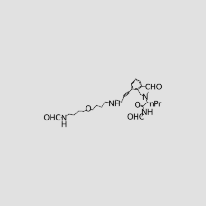 CCCC(C(=O)NC=O)N(C)Cc1c(C#CCCNCCCCOCCCCNC=O)cccc1C=O